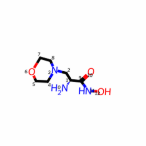 N[C@H](CN1CCOCC1)C(=O)NO